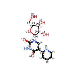 O=c1[nH]c(=O)n([C@@H]2O[C@H](CO)[C@@H](O)[C@@H]2O)cc1-c1ccccn1